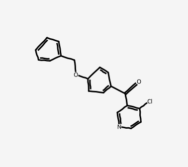 O=C(c1ccc(OCc2ccccc2)cc1)c1cnccc1Cl